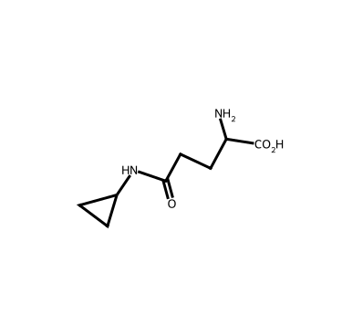 NC(CCC(=O)NC1CC1)C(=O)O